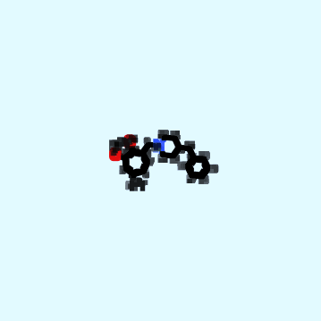 CCCOc1cc(C(C)C)ccc(CN2CCC(Cc3ccccc3)CC2)c1=O